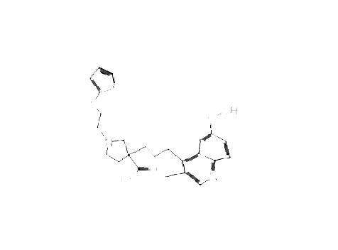 COc1ccc2ncc(Cl)c(CCCC3(C(=O)O)CCN(CCSc4cccs4)C3)c2c1